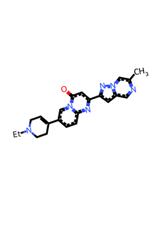 CCN1CC=C(c2ccc3nc(-c4cc5cnc(C)cn5n4)cc(=O)n3c2)CC1